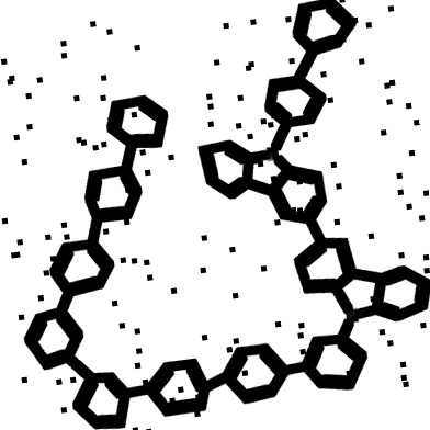 c1ccc(-c2ccc(-c3ccc(-c4cccc(-c5cccc(-c6ccc(-c7ccc(-c8cccc(-n9c%10ccccc%10c%10cc(-c%11ccc%12c(c%11)c%11ccccc%11n%12-c%11ccc(-c%12ccccc%12)cc%11)ccc%109)c8)cc7)cc6)c5)c4)cc3)cc2)cc1